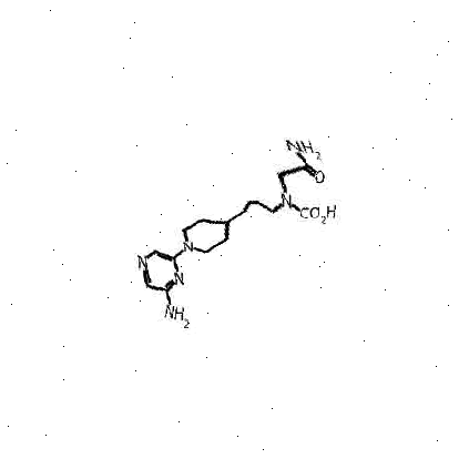 NC(=O)CN(CCC1CCN(c2cncc(N)n2)CC1)C(=O)O